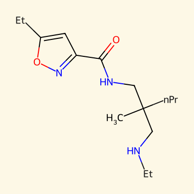 CCCC(C)(CNCC)CNC(=O)c1cc(CC)on1